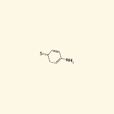 NC1=CCC(=S)C=C1